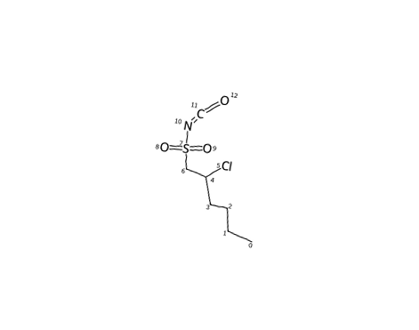 CCCCC(Cl)CS(=O)(=O)N=C=O